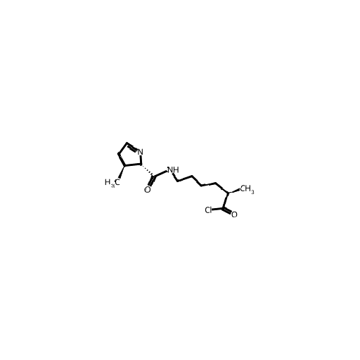 C[C@H](CCCCNC(=O)[C@H]1N=CC[C@@H]1C)C(=O)Cl